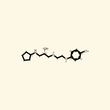 O[C@@H](CNC1CCCC1)COCCOc1ccc(Cl)cc1